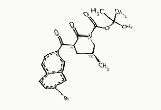 C[C@H]1C[C@@H](C(=O)c2ccc3ccc(Br)cc3c2)C(=O)N(C(=O)OC(C)(C)C)C1